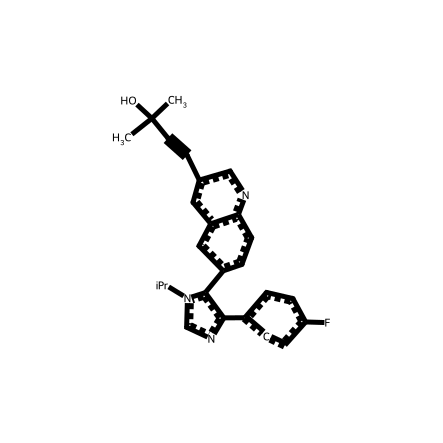 CC(C)n1cnc(-c2ccc(F)cc2)c1-c1ccc2ncc(C#CC(C)(C)O)cc2c1